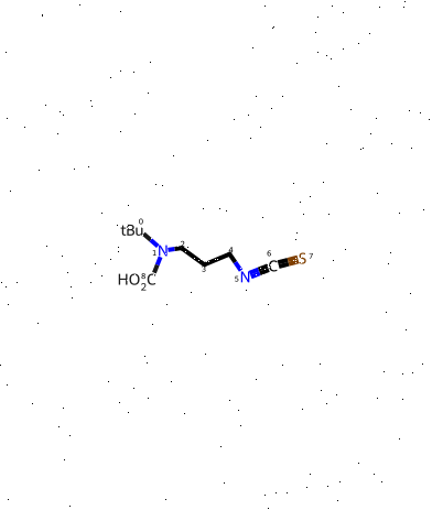 CC(C)(C)N(CCCN=C=S)C(=O)O